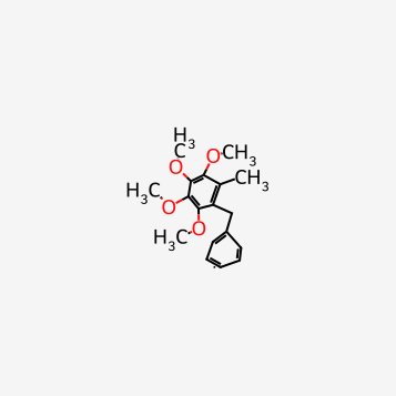 COc1c(C)c(Cc2cc[c]cc2)c(OC)c(OC)c1OC